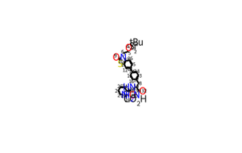 CC(C)(C)[Si](C)(C)OCCn1c(=O)sc2cc(-c3ccc(C[C@H](NC(=O)C4CCCCN4C(=O)O)C(N)=O)cc3)ccc21